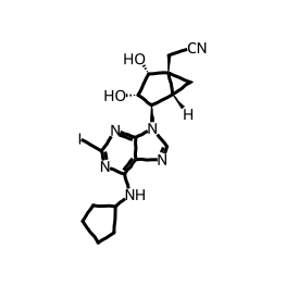 N#CC[C@@]12C[C@@H]1[C@@H](n1cnc3c(NC4CCCC4)nc(I)nc31)[C@H](O)[C@@H]2O